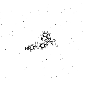 NC(=O)c1nc(-c2c(F)cccc2F)oc1Nc1ccc(CNC2CCNCC2)cc1